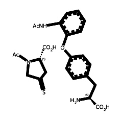 CC(=O)N1CC(=S)C[C@H]1C(=O)O.CC(=O)Nc1ccccc1Oc1ccc(C[C@H](N)C(=O)O)cc1